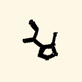 O=CC(=O)c1cno[n+]1[O-]